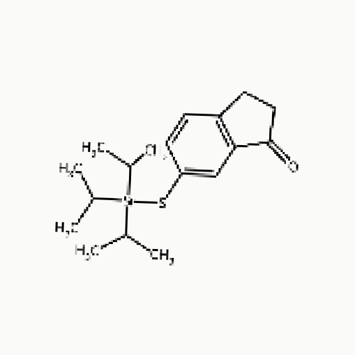 CC(C)[Si](Sc1ccc2c(c1)C(=O)CC2)(C(C)C)C(C)C